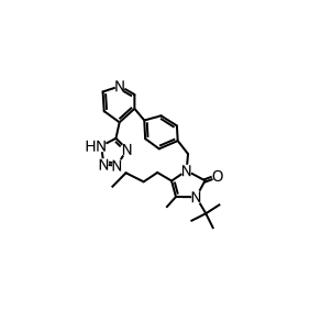 CCCCc1c(C)n(C(C)(C)C)c(=O)n1Cc1ccc(-c2cnccc2-c2nnn[nH]2)cc1